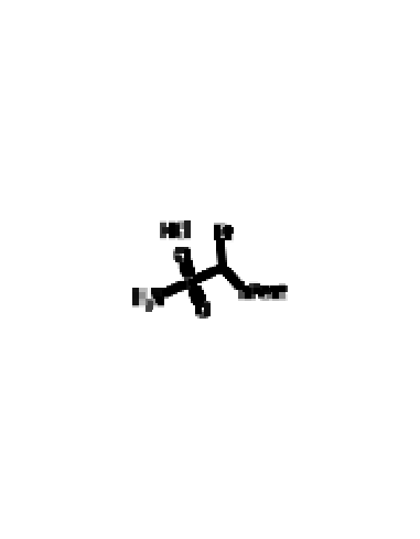 CCCCCC(CC)S(N)(=O)=O.Cl